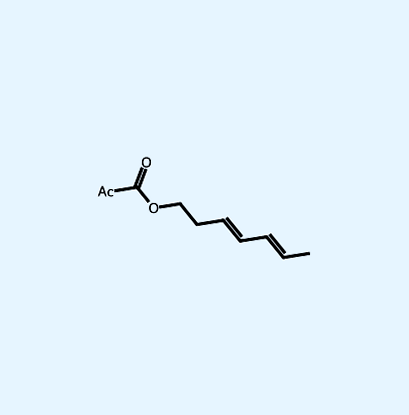 C/C=C/C=C/CCOC(=O)C(C)=O